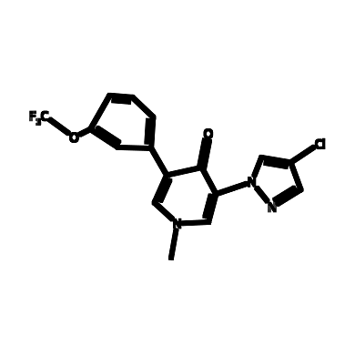 Cn1cc(-c2cccc(OC(F)(F)F)c2)c(=O)c(-n2cc(Cl)cn2)c1